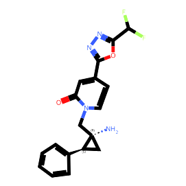 N[C@]1(Cn2ccc(-c3nnc(C(F)F)o3)cc2=O)C[C@H]1c1ccccc1